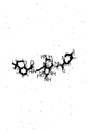 CC1(C)CCOc2c(C(=O)NC3CN4C(=N)N[C@@H](CNC(=O)c5ccc(F)cn5)C5NC(=N)NC54[C@@H]3O)cccc21